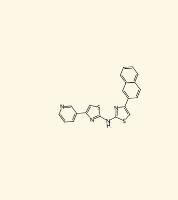 c1cncc(-c2csc(Nc3nc(-c4ccc5ccccc5c4)cs3)n2)c1